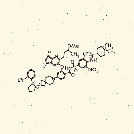 COC(C)CCc1nc2[nH]cc(F)c2cc1Oc1cc(N2CCC3(CC2)CN([C@H]2CCC[C@H]2c2ccccc2C(C)C)C3)ccc1C(=O)NS(=O)(=O)c1cc2c(c([N+](=O)[O-])c1)N[C@@H](C1CCC(C)(C)CC1)CO2